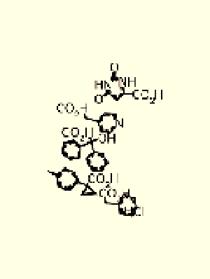 Cc1ccc(C2(C(=O)O)CC2)cc1.Cl.O=C(O)C(O)(c1ccccc1)c1ccccc1.O=C(O)Cc1ccccc1.O=C(O)Cc1ccncc1.O=C(O)c1cc(=O)[nH]c(=O)[nH]1